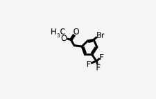 COC(=O)Cc1cc(Br)cc(C(F)(F)F)c1